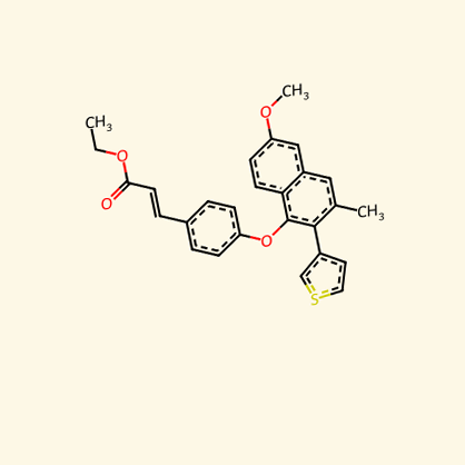 CCOC(=O)C=Cc1ccc(Oc2c(-c3ccsc3)c(C)cc3cc(OC)ccc23)cc1